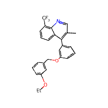 CCOc1cccc(COc2cccc(-c3c(C)cnc4c(C(F)(F)F)cccc34)c2)c1